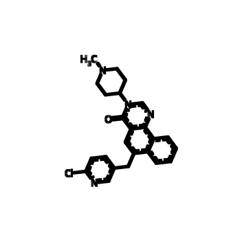 CN1CCC(n2cnc3c(cc(Cc4ccc(Cl)nc4)c4ccccc43)c2=O)CC1